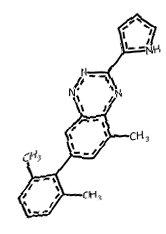 Cc1cccc(C)c1-c1cc(C)c2nc(-c3ccc[nH]3)nnc2c1